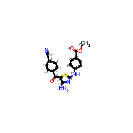 COC(=O)c1ccc(Nc2nc(N)c(C(=O)c3ccc(C#N)cc3)s2)cc1